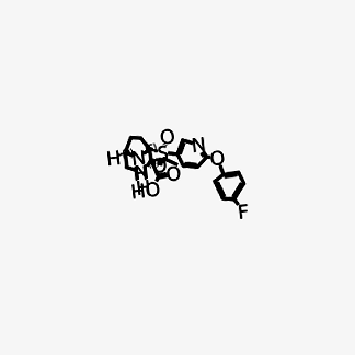 CC[C@@]1(C(=O)O)NC[C@H]2CC[C@@]1(S(=O)(=O)c1ccc(Oc3ccc(F)cc3)nc1)N2